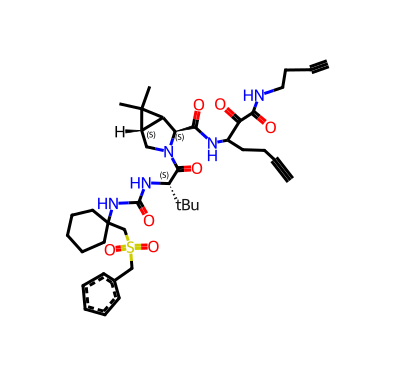 C#CCCNC(=O)C(=O)C(CCC#C)NC(=O)[C@@H]1C2[C@H](CN1C(=O)[C@@H](NC(=O)NC1(CS(=O)(=O)Cc3ccccc3)CCCCC1)C(C)(C)C)C2(C)C